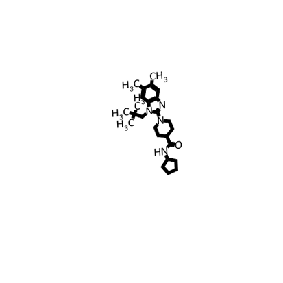 Cc1cc2nc(N3CCC(C(=O)NC4CCCC4)CC3)n(CC(C)(C)C)c2cc1C